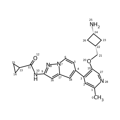 Cc1cc(-c2ccn3nc(NC(=O)C4CC4)cc3c2)c(OC[C@H]2C[C@@H](N)C2)cn1